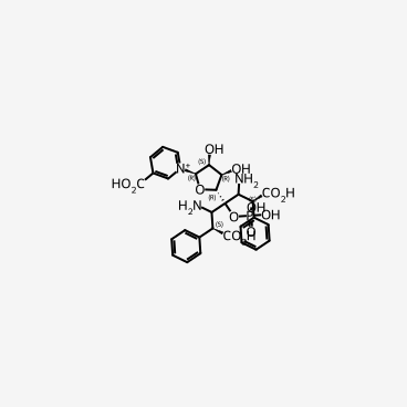 NC([C@@H](C(=O)O)c1ccccc1)C(OP(=O)(O)O)(C(N)[C@@H](C(=O)O)c1ccccc1)[C@@H]1O[C@@H]([n+]2cccc(C(=O)O)c2)[C@@H](O)[C@H]1O